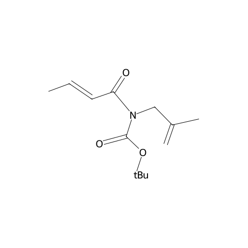 C=C(C)CN(C(=O)/C=C/C)C(=O)OC(C)(C)C